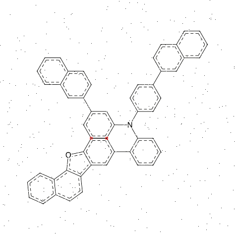 c1cc(-c2ccc3ccccc3c2)cc(N(c2ccc(-c3ccc4ccccc4c3)cc2)c2ccccc2-c2ccc3oc4c5ccccc5ccc4c3c2)c1